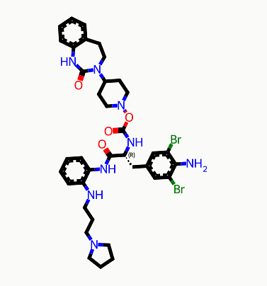 Nc1c(Br)cc(C[C@@H](NC(=O)ON2CCC(N3CCc4ccccc4NC3=O)CC2)C(=O)Nc2ccccc2NCCCN2CCCC2)cc1Br